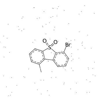 Cc1cccc2c1-c1cccc(Br)c1S2(=O)=O